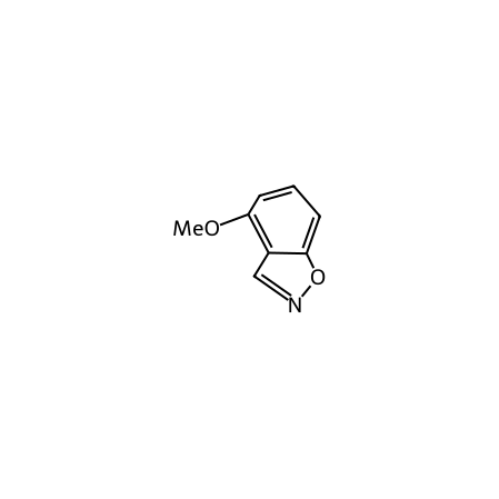 COc1cccc2oncc12